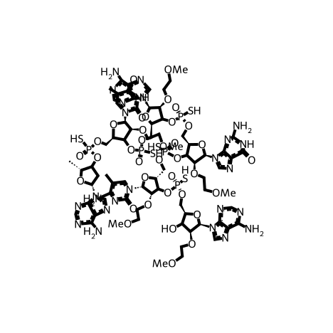 COCCO[C@H]1C(OP(=O)(S)OC[C@H]2O[C@@H](n3cnc4c(N)ncnc43)[C@@H](OCCOC)C2O)[C@@H](COP(=O)(S)OC2[C@@H](COP(=O)(S)OC3[C@@H](COP(=O)(S)OC4[C@@H](COP(=O)(S)OC5C[C@H](n6cnc7c(N)ncnc76)O[C@@H]5C)O[C@@H](n5cc(C)c(=O)[nH]c5=O)[C@H]4OCCOC)O[C@@H](n4cnc5c(N)ncnc54)[C@H]3OCCOC)O[C@@H](n3cnc4c(=O)[nH]c(N)nc43)[C@H]2OCCOC)O[C@H]1n1cc(C)c(N)nc1=O